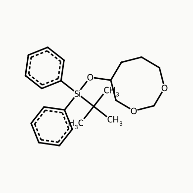 CC(C)(C)[Si](OC1CCCOCOC1)(c1ccccc1)c1ccccc1